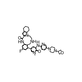 Cn1cc(-c2cc(F)cc3c2CNCCn2c(cc4c2CCCC4)C(=O)N3)cc(Nc2ccc(N3CCN(C4COC4)CC3)cn2)c1=O